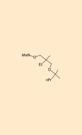 CCCC(C)(C)OCC(C)(CC)CONC